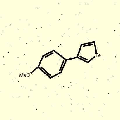 COc1ccc(-c2cc[te]c2)cc1